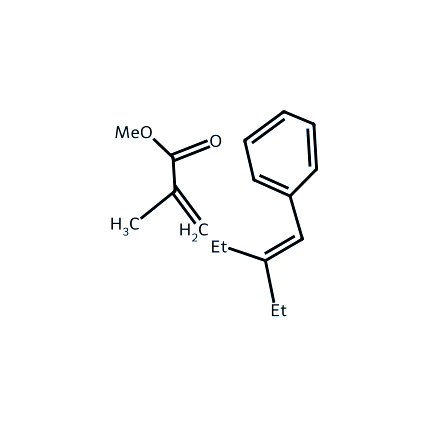 C=C(C)C(=O)OC.CCC(=Cc1ccccc1)CC